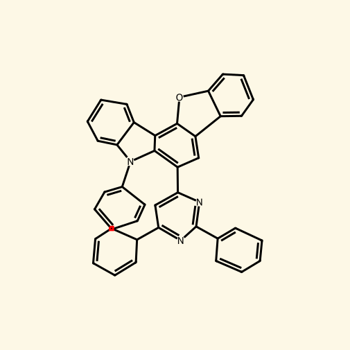 C1=CCC(c2cc(-c3cc4c5ccccc5oc4c4c5ccccc5n(-c5ccccc5)c34)nc(-c3ccccc3)n2)C=C1